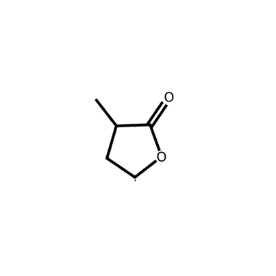 CC1C[CH]OC1=O